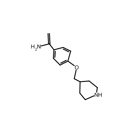 C=C(N)c1ccc(OCC2CCNCC2)cc1